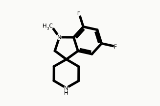 CN1CC2(CCNCC2)c2cc(F)cc(F)c21